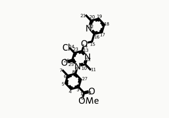 COC(=O)c1ccc(C)c(-n2c(C)nc(OCc3cccc(C)n3)c(Cl)c2=O)c1